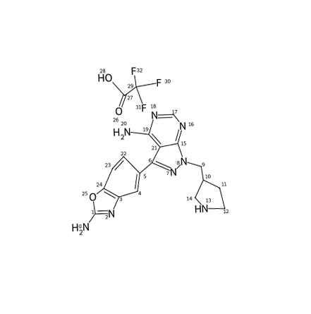 Nc1nc2cc(-c3nn(CC4CCNC4)c4ncnc(N)c34)ccc2o1.O=C(O)C(F)(F)F